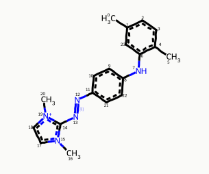 Cc1ccc(C)c(Nc2ccc(/N=N/c3n(C)cc[n+]3C)cc2)c1